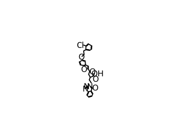 O=C(CC(CCn1nnc2ccccc2c1=O)C(=O)O)c1cc2cc(OCCc3ccccc3Cl)ccc2o1